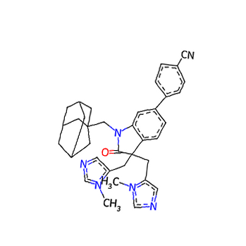 Cn1cncc1CC1(Cc2cncn2C)C(=O)N(CC23CC4CC(CC(C4)C2)C3)c2cc(-c3ccc(C#N)cc3)ccc21